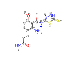 CNC(=O)CCc1ccc(OC)c(C(=O)Nc2n[nH]c(=S)s2)c1N